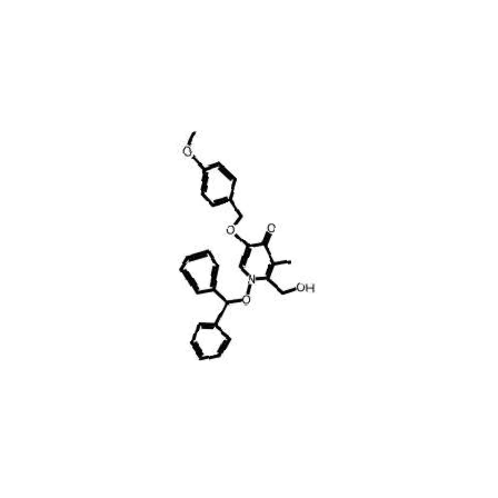 COc1ccc(COc2cn(OC(c3ccccc3)c3ccccc3)c(CO)c(C)c2=O)cc1